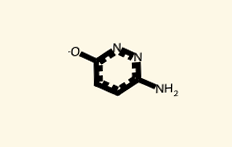 Nc1ccc([O])nn1